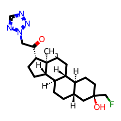 C[C@]12CC[C@H]3[C@@H](CC[C@H]4C[C@@](O)(CF)CC[C@@H]43)[C@@H]1CC[C@@H]2C(=O)Cn1ncnn1